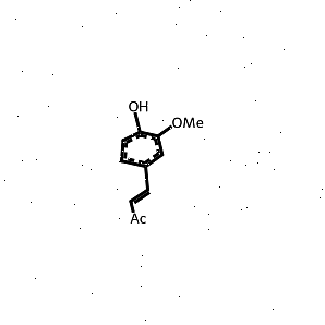 [CH2]C(=O)C=Cc1ccc(O)c(OC)c1